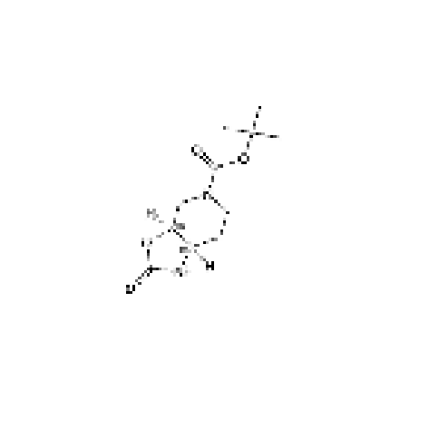 CC(C)(C)OC(=O)N1CC[C@H]2NC(=O)O[C@H]2C1